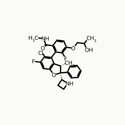 CNC(=O)c1ccc(OCC(C)O)c(F)c1-c1c(Cl)c(F)cc2c1[C@H](C)[C@](c1ccccc1)(C1CCN1)O2